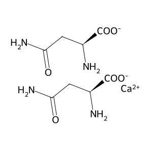 NC(=O)C[C@H](N)C(=O)[O-].NC(=O)C[C@H](N)C(=O)[O-].[Ca+2]